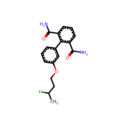 CC(F)CCOc1cccc(-c2c(C(N)=O)cccc2C(N)=O)c1